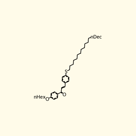 CCCCCCCCCCCCCCCCCCCCCCSc1ccc(C=CC(=O)c2ccc(OCCCCCC)cc2)cc1